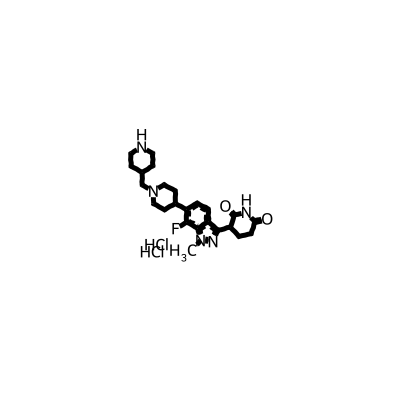 Cl.Cl.Cn1nc(C2CCC(=O)NC2=O)c2ccc(C3CCN(CC4CCNCC4)CC3)c(F)c21